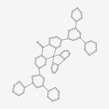 O=C1c2ccc(-c3cc(-c4ccccc4)cc(-c4ccccc4)c3)cc2C2(c3cc(-c4cc(-c5ccccc5)cc(-c5ccccc5)c4)ccc31)c1ccccc1-c1ccccc12